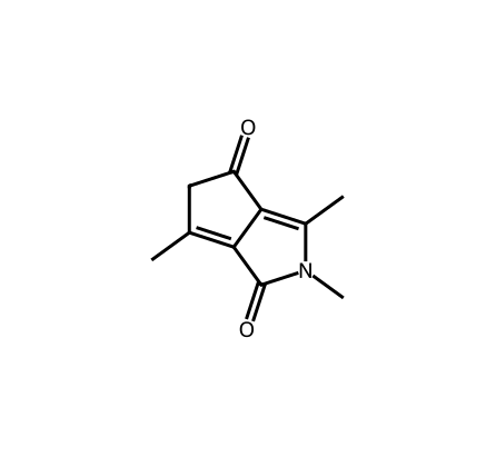 CC1=C2C(=O)N(C)C(C)=C2C(=O)C1